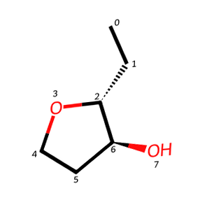 CC[C@H]1OCC[C@@H]1O